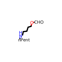 CCCCCNCCCCCOC=O